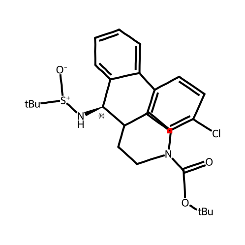 CC(C)(C)OC(=O)N1CCC([C@@H](N[S+]([O-])C(C)(C)C)c2ccccc2-c2ccc(Cl)cc2)CC1